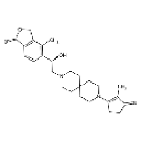 CC1=C(N2CCC3(CCN(C[C@H](O)c4ccc5c(c4C)COC5=O)CC3)CC2)CCC1=O